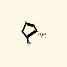 F.F.[Ru][C]1=CC=CC1